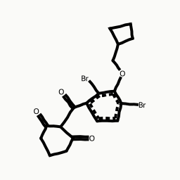 O=C1CCCC(=O)C1C(=O)c1ccc(Br)c(OCC2CCC2)c1Br